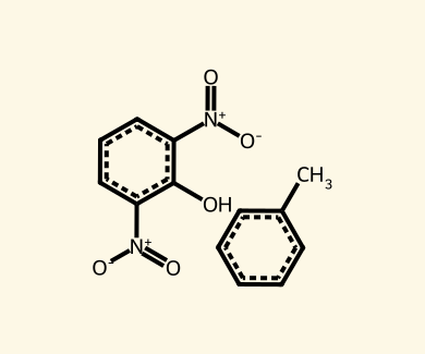 Cc1ccccc1.O=[N+]([O-])c1cccc([N+](=O)[O-])c1O